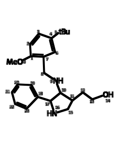 COc1ccc(C(C)(C)C)cc1CNC1C(CCO)CNC1c1ccccc1